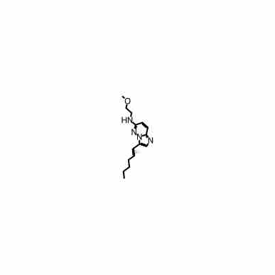 CCCC/C=C/c1cnc2ccc(NCCOC)nn12